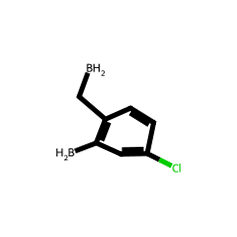 BCc1ccc(Cl)cc1B